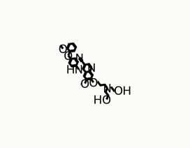 COc1cc2c(Nc3ccc(Oc4ccccc4OC)cc3)c(C#N)cnc2cc1OCCCN(CCO)CCO